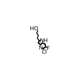 OCCCCc1cc2nc(Cl)c(F)cc2[nH]1